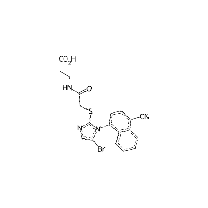 N#Cc1ccc(-n2c(Br)cnc2SCC(=O)NCCC(=O)O)c2ccccc12